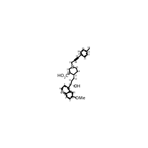 COc1ccc2nccc([C@@H](O)CC[C@@H]3CCN(CC#Cc4ccc(C)cc4)C[C@@H]3C(=O)O)c2c1